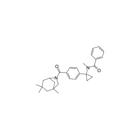 CN(C(=O)c1ccccc1)C1(c2ccc(C(=O)N3CC4(C)CC3CC(C)(C)C4)cc2)CC1